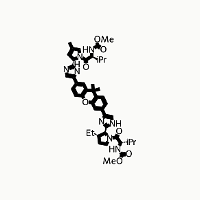 CC[C@H]1CCN(C(=O)[C@@H](NC(=O)OC)C(C)C)[C@@H]1c1nc(-c2ccc3c(c2)Oc2ccc(-c4cnc([C@@H]5C=C(C)CN5C(=O)[C@@H](NC(=O)OC)C(C)C)[nH]4)cc2C3(C)C)c[nH]1